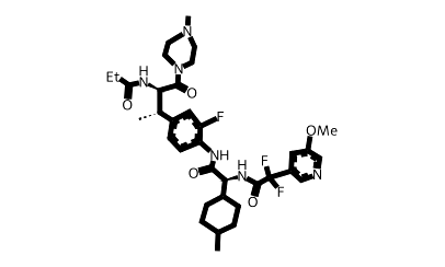 CCC(=O)N[C@@H](C(=O)N1CCN(C)CC1)[C@@H](C)c1ccc(NC(=O)[C@@H](NC(=O)C(F)(F)c2cncc(OC)c2)C2CCC(C)CC2)c(F)c1